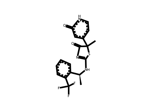 C[C@H](NC1=NC(=O)C(C)(c2cc[nH]c(=O)c2)S1)c1ccccc1C(F)(F)F